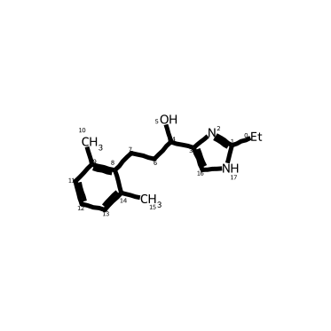 CCc1nc(C(O)CCc2c(C)cccc2C)c[nH]1